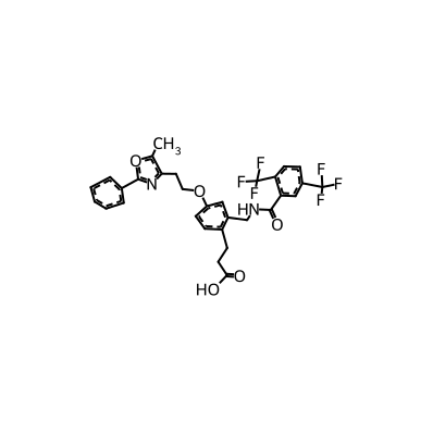 Cc1oc(-c2ccccc2)nc1CCOc1ccc(CCC(=O)O)c(CNC(=O)c2cc(C(F)(F)F)ccc2C(F)(F)F)c1